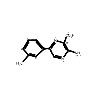 Cc1cccc(-c2cnc(N)c(C(=O)O)n2)c1